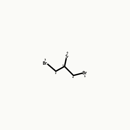 [S]C(CBr)CBr